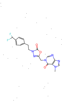 Cn1cnc2ncn(Cc3nn(CCc4ccc(C(F)F)cc4)c(=O)o3)c(=O)c21